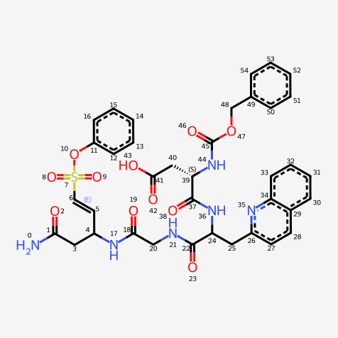 NC(=O)CC(/C=C/S(=O)(=O)Oc1ccccc1)NC(=O)CNC(=O)C(Cc1ccc2ccccc2n1)NC(=O)[C@H](CC(=O)O)NC(=O)OCc1ccccc1